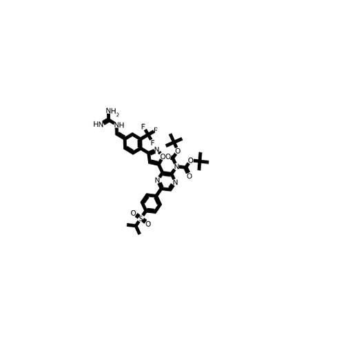 CC(C)S(=O)(=O)c1ccc(-c2cnc(N(C(=O)OC(C)(C)C)C(=O)OC(C)(C)C)c(-c3cc(C4=C(C(F)(F)F)CC(=CNC(=N)N)C=C4)no3)n2)cc1